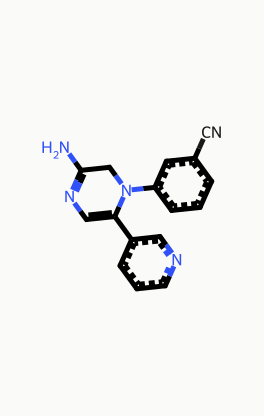 N#Cc1cccc(N2CC(N)=NC=C2c2cccnc2)c1